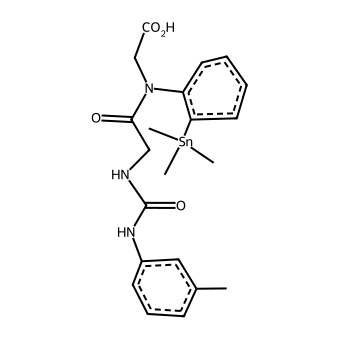 Cc1cccc(NC(=O)NCC(=O)N(CC(=O)O)c2cccc[c]2[Sn]([CH3])([CH3])[CH3])c1